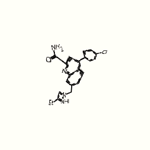 CCc1cn(Cc2ccc3c(-c4ccc(Cl)cc4)cc(C(N)=O)nc3c2)[nH]1